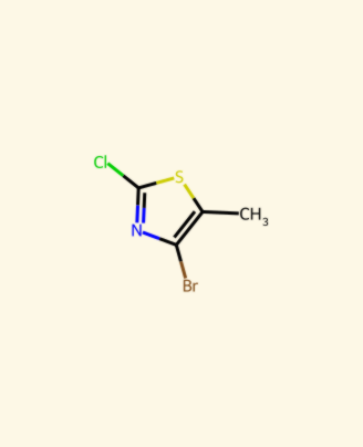 Cc1sc(Cl)nc1Br